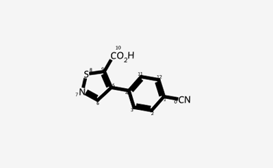 N#Cc1ccc(-c2cnsc2C(=O)O)cc1